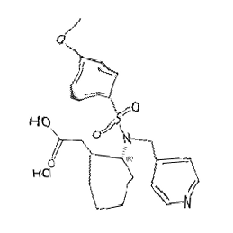 COc1ccc(S(=O)(=O)N(Cc2ccncc2)[C@@H]2CCCCC2CC(=O)O)cc1.Cl